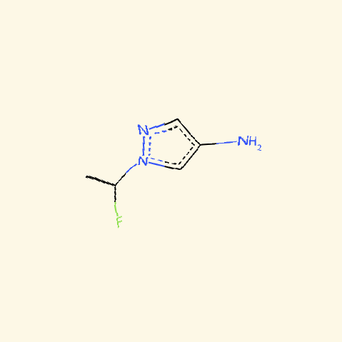 CC(F)n1cc(N)cn1